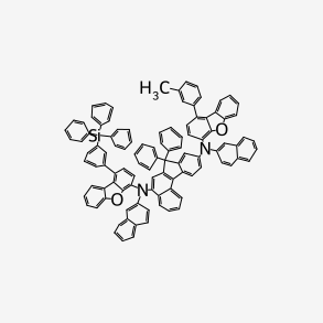 Cc1cccc(-c2ccc(N(c3ccc4c(c3)C(c3ccccc3)(c3ccccc3)c3cc(N(c5ccc6ccccc6c5)c5ccc(-c6cccc([Si](c7ccccc7)(c7ccccc7)c7ccccc7)c6)c6c5oc5ccccc56)c5ccccc5c3-4)c3ccc4ccccc4c3)c3oc4ccccc4c23)c1